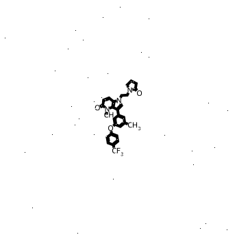 Cc1cc(Oc2ccc(C(F)(F)F)cc2)cc(-c2cn(CCN3CCCC3=O)c3ccc(=O)n(C)c23)c1